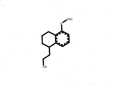 CC(=O)OOc1cccc2c1CCCC2CCC#N